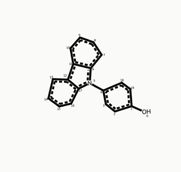 Oc1ccc(-n2c3cc[c]cc3c3ccccc32)cc1